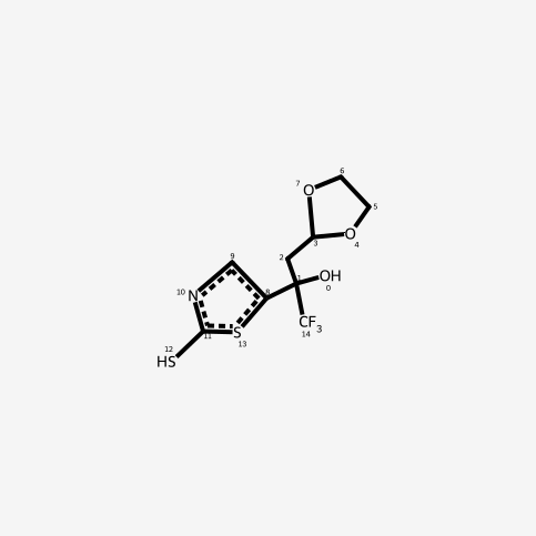 OC(CC1OCCO1)(c1cnc(S)s1)C(F)(F)F